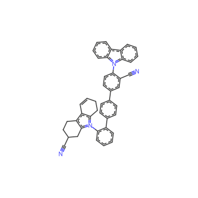 N#Cc1cc(-c2ccc(-c3ccccc3-n3c4c(c5c3CC(C#N)CC5)C=CCC4)cc2)ccc1-n1c2ccccc2c2ccccc21